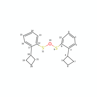 c1ccc(C2CCC2)c(SOSc2ccccc2C2CCC2)c1